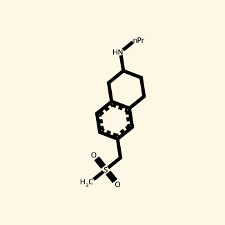 CCCNC1CCc2cc(CS(C)(=O)=O)ccc2C1